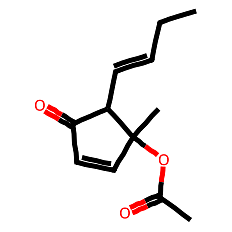 CCC=CC1C(=O)C=CC1(C)OC(C)=O